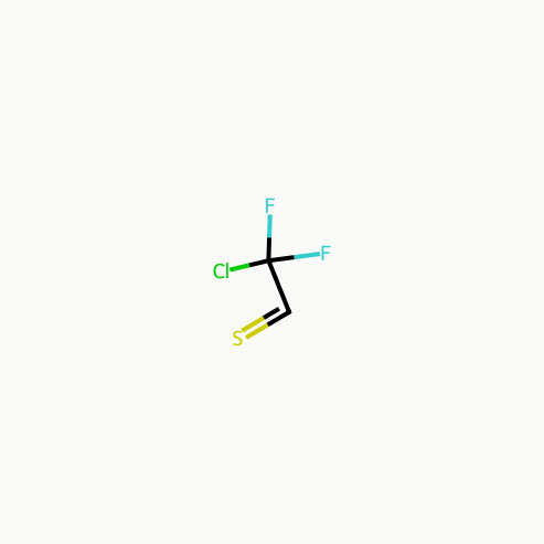 FC(F)(Cl)C=S